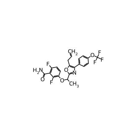 C=CCc1oc(C(C)Oc2ccc(F)c(C(N)=O)c2F)nc1-c1ccc(OC(F)(F)F)cc1